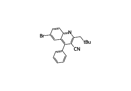 CC(C)(C)Cc1nc2ccc(Br)cc2c(-c2ccccc2)c1C#N